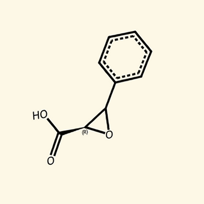 O=C(O)[C@@H]1OC1c1ccccc1